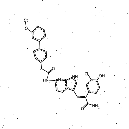 CCOc1cccc(-c2ccc(CC(=O)Nc3ccc4c(C=C(C(N)=O)c5ccc(O)c(Cl)c5)c[nH]c4n3)cc2)c1